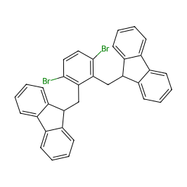 Brc1ccc(Br)c(CC2c3ccccc3-c3ccccc32)c1CC1c2ccccc2-c2ccccc21